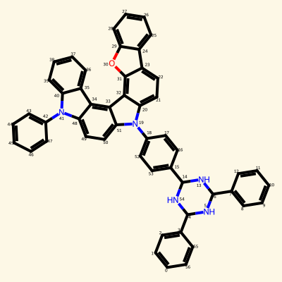 c1ccc(C2NC(c3ccccc3)NC(c3ccc(-n4c5ccc6c7ccccc7oc6c5c5c6c7ccccc7n(-c7ccccc7)c6ccc54)cc3)N2)cc1